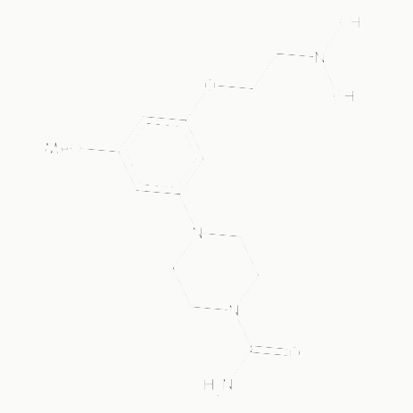 COc1cc(OCCN(C)C)cc(N2CCN(C(N)=O)CC2)c1